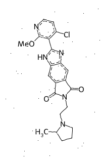 COc1nccc(Cl)c1-c1nc2cc3c(cc2[nH]1)C(=O)N(CCN1CCCC1C)C3=O